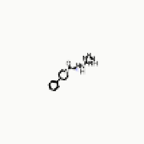 O=C(/C=N/Nc1nnn[nH]1)N1CCC(c2ccccc2)CC1